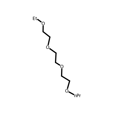 CCCOCCOCCOCCOCC